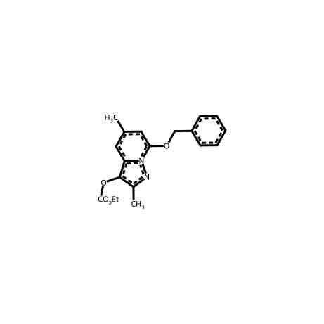 CCOC(=O)Oc1c(C)nn2c(OCc3ccccc3)cc(C)cc12